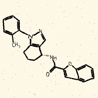 Cc1ccccc1-n1ncc2c1CCC[C@H]2NC(=O)c1cc2ccccc2o1